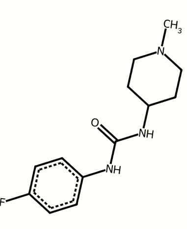 CN1CCC(NC(=O)Nc2ccc(F)cc2)CC1